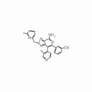 Cc1cccc(Cn2nc3c(N)nc(-c4cccc(C#N)c4)c(-c4ccncc4C)c3n2)n1